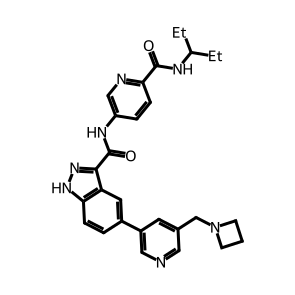 CCC(CC)NC(=O)c1ccc(NC(=O)c2n[nH]c3ccc(-c4cncc(CN5CCC5)c4)cc23)cn1